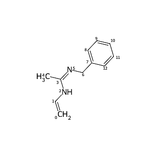 C=CNC(C)=NCc1ccccc1